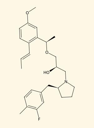 C/C=C/c1ccc(OC)cc1[C@@H](C)OC[C@H](O)CN1CCC[C@H]1Cc1ccc(C)c(F)c1